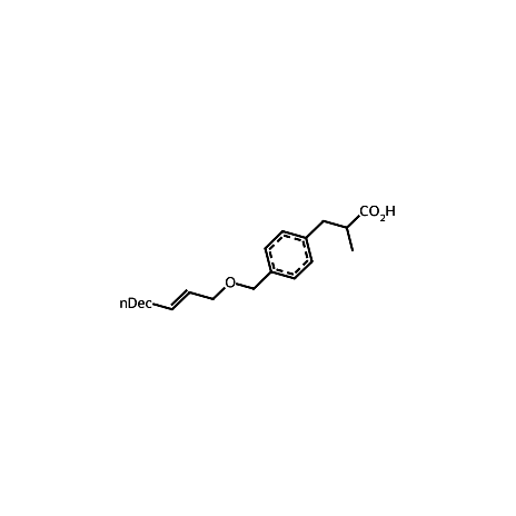 CCCCCCCCCCC=CCOCc1ccc(CC(C)C(=O)O)cc1